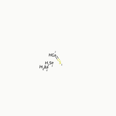 [BaH2].[S]=[GaH].[SeH2]